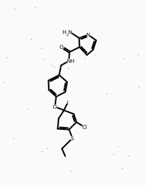 CCSC1=CCC(I)(Oc2ccc(CNC(=O)c3cccnc3N)cc2)C=C1Cl